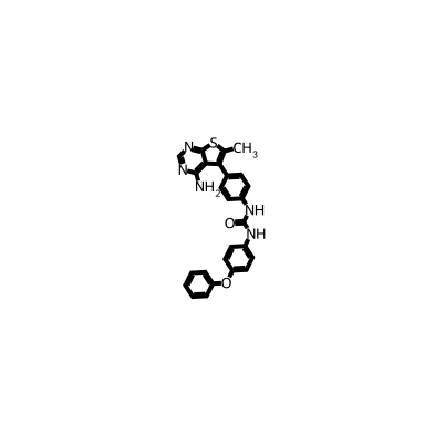 Cc1sc2ncnc(N)c2c1-c1ccc(NC(=O)Nc2ccc(Oc3ccccc3)cc2)cc1